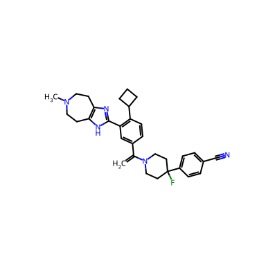 C=C(c1ccc(C2CCC2)c(-c2nc3c([nH]2)CCN(C)CC3)c1)N1CCC(F)(c2ccc(C#N)cc2)CC1